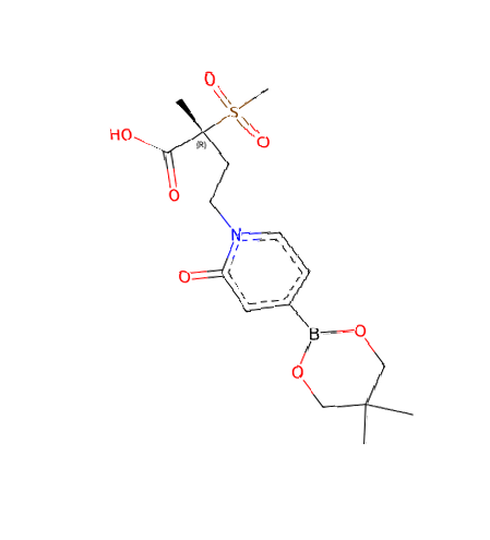 CC1(C)COB(c2ccn(CC[C@](C)(C(=O)O)S(C)(=O)=O)c(=O)c2)OC1